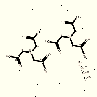 O=C([O-])CN(CC(=O)[O-])CC(=O)[O-].O=C([O-])CN(CC(=O)[O-])CC(=O)[O-].[Cd+2].[Cd+2].[Cd+2].[KH]